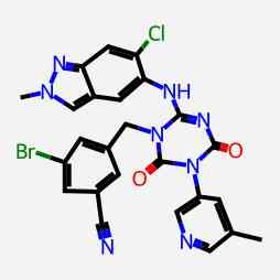 Cc1cncc(-n2c(=O)nc(Nc3cc4cn(C)nc4cc3Cl)n(Cc3cc(Br)cc(C#N)c3)c2=O)c1